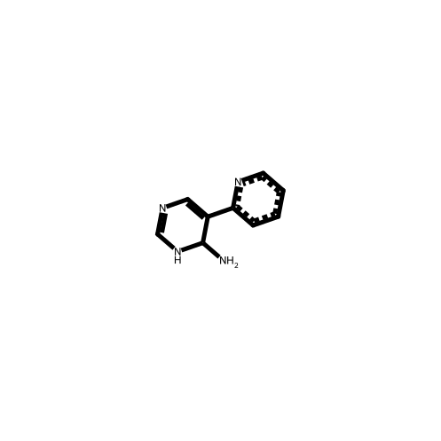 NC1NC=NC=C1c1ccccn1